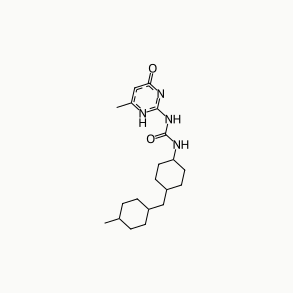 Cc1cc(=O)nc(NC(=O)NC2CCC(CC3CCC(C)CC3)CC2)[nH]1